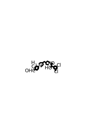 Cc1cc(N2CCC(CC3CCN(C(=O)C(O)c4cc(Cl)cc(Cl)c4)CC3)CC2)ccc1C=O